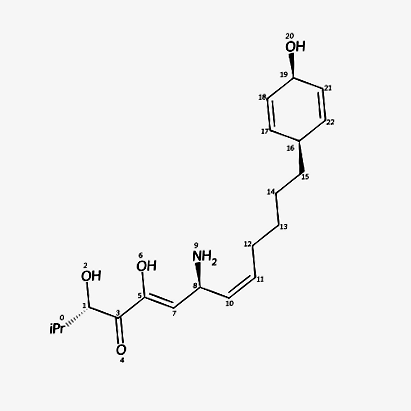 CC(C)[C@H](O)C(=O)/C(O)=C/[C@@H](N)/C=C\CCCC[C@H]1C=C[C@@H](O)C=C1